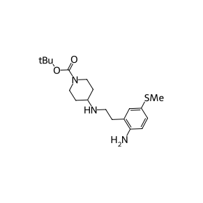 CSc1ccc(N)c(CCNC2CCN(C(=O)OC(C)(C)C)CC2)c1